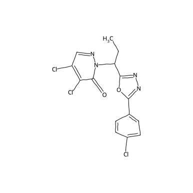 CCC(c1nnc(-c2ccc(Cl)cc2)o1)n1ncc(Cl)c(Cl)c1=O